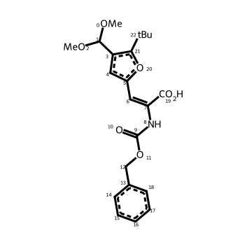 COC(OC)c1cc(C=C(NC(=O)OCc2ccccc2)C(=O)O)oc1C(C)(C)C